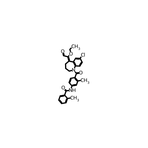 CCOC(C=O)=C1CCCN(C(=O)c2ccc(NC(=O)c3ccccc3C)cc2C)c2ccc(Cl)cc21